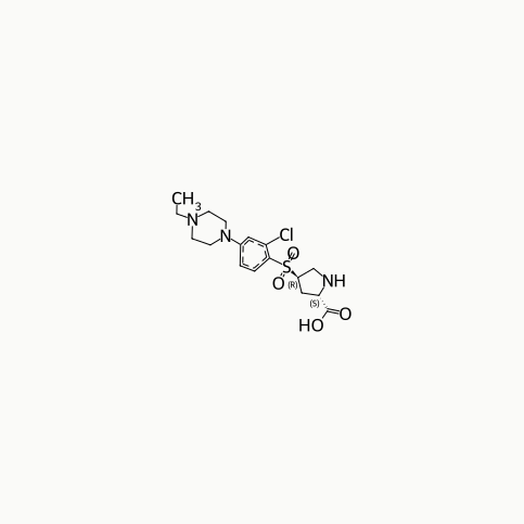 CCN1CCN(c2ccc(S(=O)(=O)[C@H]3CN[C@H](C(=O)O)C3)c(Cl)c2)CC1